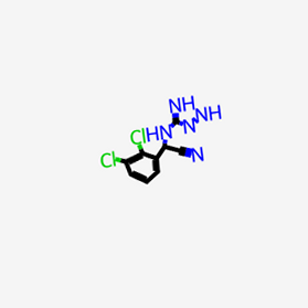 N#CC(NC(=N)N=N)c1cccc(Cl)c1Cl